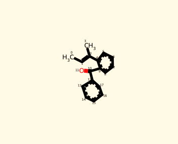 CC=C(C)c1ccccc1C(=O)c1ccccc1